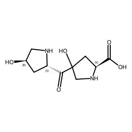 O=C(O)[C@@H]1CC(O)(C(=O)[C@@H]2C[C@@H](O)CN2)CN1